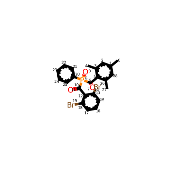 Cc1cc(C)c(C(=O)P(=O)(C(=O)c2c(Br)cccc2Br)c2ccccc2)c(C)c1